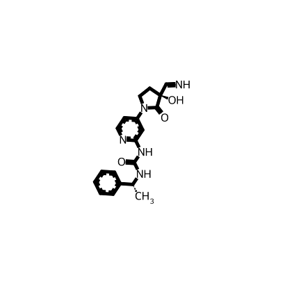 C[C@@H](NC(=O)Nc1cc(N2CC[C@](O)(C=N)C2=O)ccn1)c1ccccc1